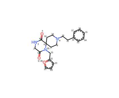 O=C1CNC(=O)C2(CCN(CCc3ccccc3)CC2)N1Cc1ccco1